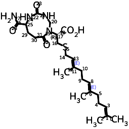 CC(C)=CCC/C(C)=C/CC/C(C)=C/CSC[C@@H](C(=O)O)N1CNC(=O)NC(C(N)=O)CCC1=O